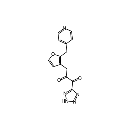 O=C(Cc1ccoc1Cc1ccncc1)C(=O)c1nn[nH]n1